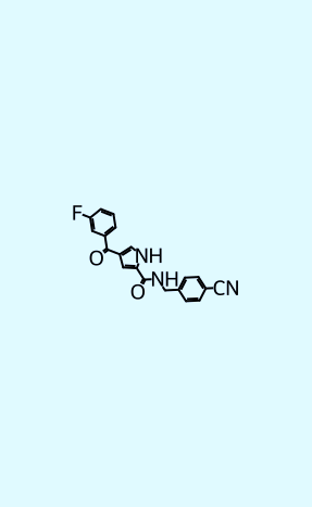 N#Cc1ccc(CNC(=O)c2cc(C(=O)c3cccc(F)c3)c[nH]2)cc1